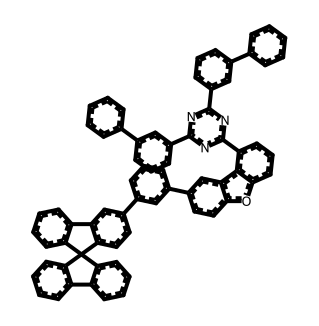 c1ccc(-c2cccc(-c3nc(-c4cccc(-c5ccccc5)c4)nc(-c4cccc5oc6ccc(-c7cccc(-c8ccc9c(c8)-c8ccccc8C98c9ccccc9-c9ccccc98)c7)cc6c45)n3)c2)cc1